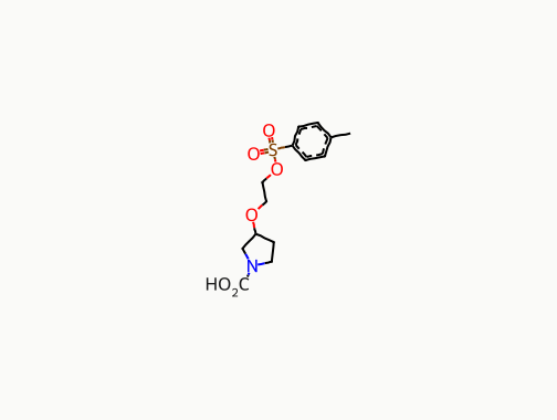 Cc1ccc(S(=O)(=O)OCCOC2CCN(C(=O)O)C2)cc1